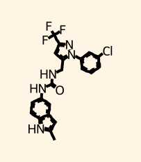 Cc1cc2cc(NC(=O)NCc3cc(C(F)(F)F)nn3-c3cccc(Cl)c3)ccc2[nH]1